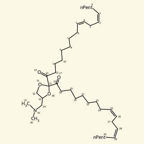 CCCCC/C=C\C/C=C\CCCCCCCC(=O)C1(C(=O)CCCCCCC/C=C\C/C=C\CCCCC)OCC(CN(C)C)O1